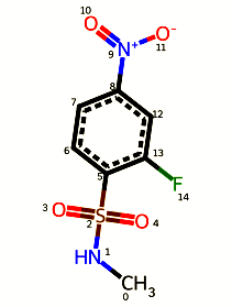 CNS(=O)(=O)c1ccc([N+](=O)[O-])cc1F